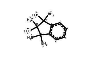 BC1(B)c2ccccc2C(B)(B)C1(C)C